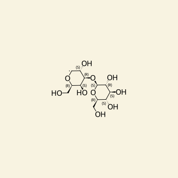 OC[C@H]1O[CH][C@H](O)[C@@H](O[C@@H]2O[C@H](CO)[C@@H](O)[C@H](O)[C@H]2O)[C@H]1O